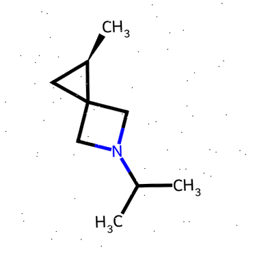 CC(C)N1CC2(C[C@H]2C)C1